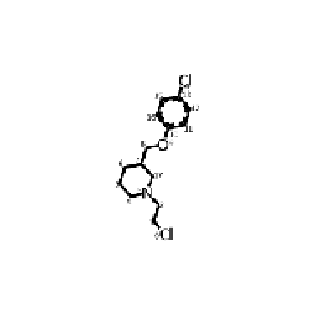 ClCCN1CCCC(COc2ccc(Cl)cc2)C1